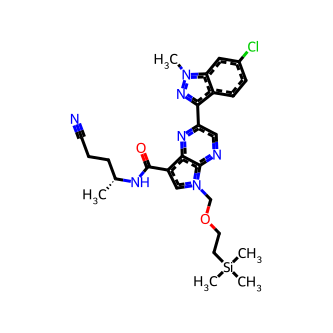 C[C@H](CCC#N)NC(=O)c1cn(COCC[Si](C)(C)C)c2ncc(-c3nn(C)c4cc(Cl)ccc34)nc12